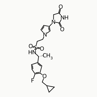 C[C@@H](NS(=O)(=O)CCn1ccc(N2CC(=O)NC2=O)c1)c1ccc(F)c(OCC2CC2)c1